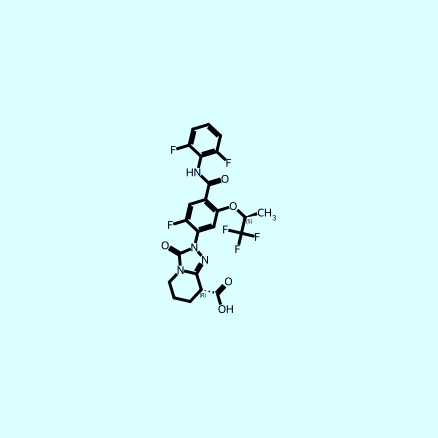 C[C@H](Oc1cc(-n2nc3n(c2=O)CCC[C@H]3C(=O)O)c(F)cc1C(=O)Nc1c(F)cccc1F)C(F)(F)F